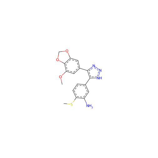 COc1cc(-c2nn[nH]c2-c2ccc(SC)c(N)c2)cc2c1OCO2